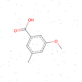 COc1cc(C)cc(C(=O)O)c1